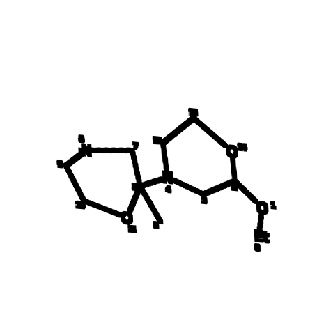 CCOC1CN(C2(C)C[N]CCO2)CCO1